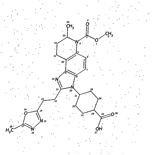 COC(=O)N1c2ccc3c(nc(CCc4nnc(C)o4)n3C3CCC(C(=O)O)CC3)c2CCC1C